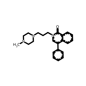 CN1CCN(CCCn2cc(-c3ccccc3)c3ccccc3c2=O)CC1